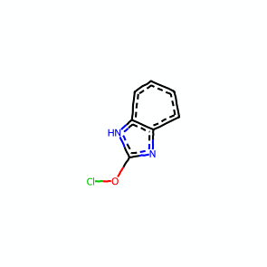 ClOc1nc2ccccc2[nH]1